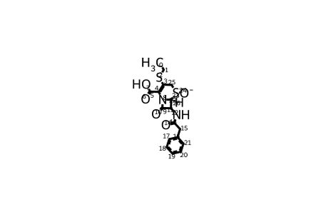 CCSC1=C(C(=O)O)N2C(=O)C(NC(=O)Cc3ccccc3)[C@H]2[S+]([O-])C1